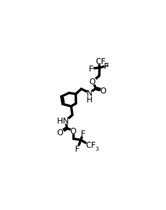 O=C(NCC1C=CCC(CNC(=O)OCC(F)(F)C(F)(F)F)C1)OCC(F)(F)C(F)(F)F